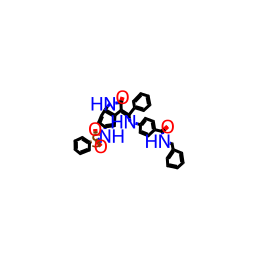 O=C1Nc2ccc(NS(=O)(=O)c3ccccc3)cc2C1=C(Nc1ccc(C(=O)NCc2ccccc2)cc1)c1ccccc1